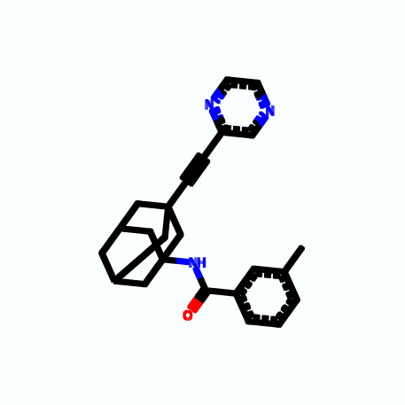 Cc1cccc(C(=O)NC23CC4CC(CC(C#Cc5cnccn5)(C4)C2)C3)c1